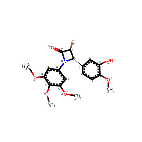 COc1ccc([C@H]2[C@H](Br)C(=O)N2c2cc(OC)c(OC)c(OC)c2)cc1O